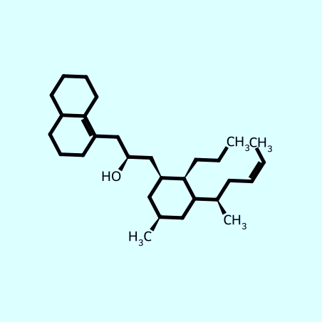 C/C=C\C[C@@H](C)C1C[C@@H](C)C[C@@H](C[C@@H](O)CC2=C3CCCCC3CCC2)[C@H]1CCC